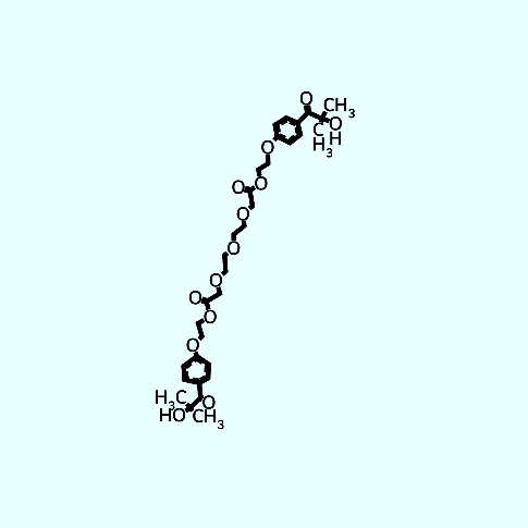 CC(C)(O)C(=O)c1ccc(OCCOC(=O)COCCOCCOCC(=O)OCCOc2ccc(C(=O)C(C)(C)O)cc2)cc1